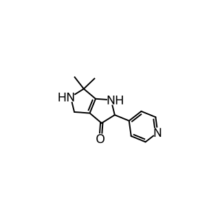 CC1(C)NCC2=C1NC(c1ccncc1)C2=O